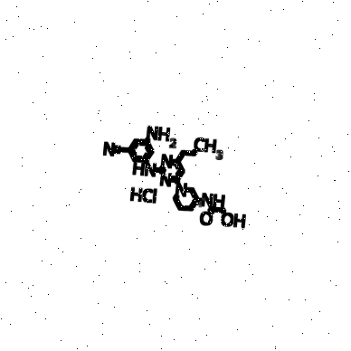 CCCc1cc(N2CCC[C@@H](NC(=O)CO)C2)nc(Nc2cc(N)cc(C#N)c2)n1.Cl